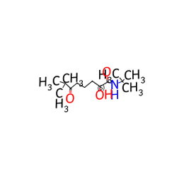 CC(C)(C)NC(=O)[C@@H](O)CCCC(=O)C(C)(C)C